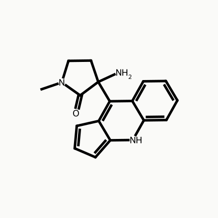 CN1CCC(N)(c2c3cccc-3[nH]c3ccccc23)C1=O